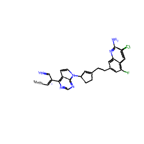 CN/C=C(\C=N)c1ncnc2c1ccn2C1C=C(CCc2cc(F)c3cc(Cl)c(N)nc3c2)CC1